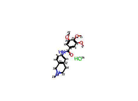 COc1cc(C(=O)Nc2ccc3c(c2)CCN(C)C3)cc(OC)c1OC.Cl